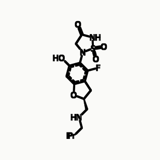 CC(C)CNC[C@@H]1Cc2c(cc(O)c(N3CC(=O)NS3(=O)=O)c2F)O1